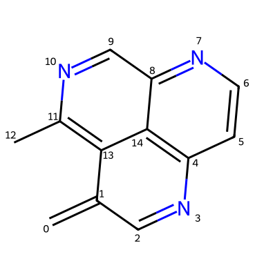 C=c1cnc2ccnc3cnc(C)c1c23